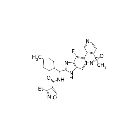 CCc1nocc1C(=O)NC(c1nc2c(F)c(-c3cnccc3S(C)(=N)=O)ccc2[nH]1)C1CCC(C)CC1